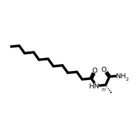 CCCCCCCCCCCC(=O)N[C@@H](C)C(N)=O